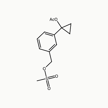 CC(=O)OC1(c2cccc(COS(C)(=O)=O)c2)CC1